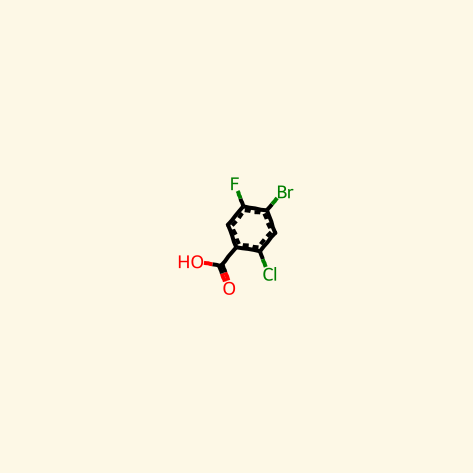 O=C(O)c1cc(F)c(Br)cc1Cl